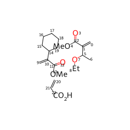 C=C(C(=O)OC)C(C)OCC.C=C(C(=O)OC)C1CCCCC1.C=CC(=O)O